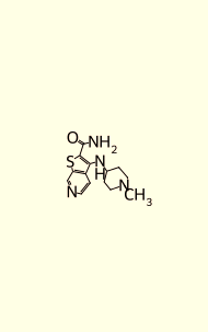 CN1CCC(Nc2c(C(N)=O)sc3cnccc23)CC1